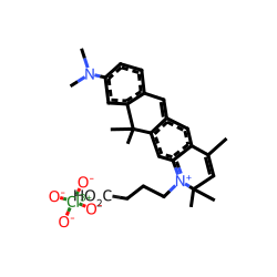 CC1=CC(C)(C)[N+](CCCC(=O)O)=c2cc3c(cc21)=Cc1ccc(N(C)C)cc1C3(C)C.[O-][Cl+3]([O-])([O-])[O-]